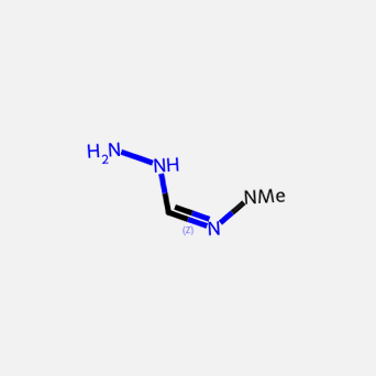 CN/N=C\NN